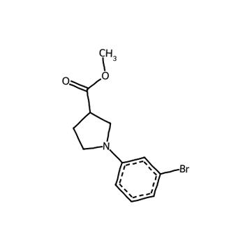 COC(=O)C1CCN(c2cccc(Br)c2)C1